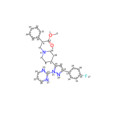 COC(=O)C(CN1CCC(c2cc(-c3ccc(F)cc3)nn2-c2ncccn2)CC1)c1ccccc1